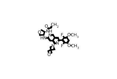 C=CC(=O)N[C@H]1COC[C@H]1Nc1cc2c(N3CC4(COC4)C3)nc(-c3c(F)c(OC)cc(OC)c3F)cc2cn1